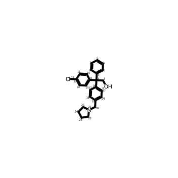 OCC(c1ccccc1)(c1ccc(Cl)cc1)c1ccc(CN2CCCC2)cc1